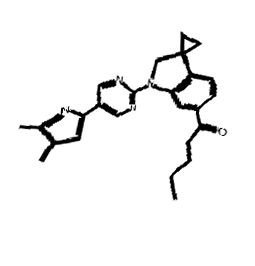 CCCCC(=O)c1ccc2c(c1)N(c1ncc(C3=CC(C)C(C)=N3)cn1)CC21CC1